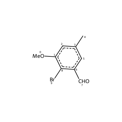 COc1cc(C)cc(C=O)c1Br